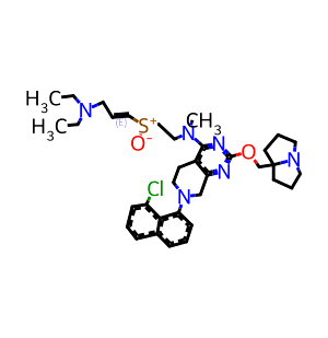 CCN(CC)C/C=C/[S+]([O-])CCN(C)c1nc(OCC23CCCN2CCC3)nc2c1CCN(c1cccc3cccc(Cl)c13)C2